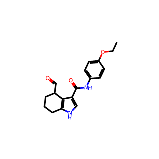 CCOc1ccc(NC(=O)c2c[nH]c3c2C(C=O)CCC3)cc1